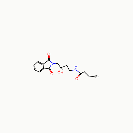 CC(C)CCC(=O)NCC[C@H](O)CN1C(=O)c2ccccc2C1=O